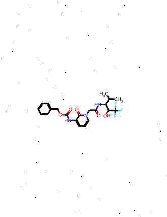 CC(C)C(NC(=O)Cn1cccc(NC(=O)OCc2ccccc2)c1=O)C(O)C(F)(F)F